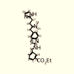 CCOC(=O)c1cccc(CNc2nc3ccc(CC(CCc4ncc[nH]4)N(C)C)cc3s2)c1